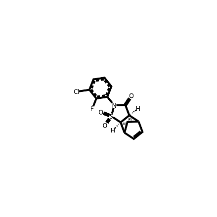 O=C1[C@H]2C3C=CC(C3)[C@H]2S(=O)(=O)N1c1cccc(Cl)c1F